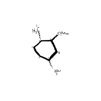 CC[C@@H](C)C1CC[C@H](C)C(OC)C1